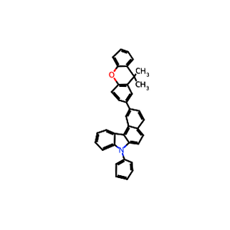 CC1(C)c2ccccc2Oc2ccc(-c3ccc4ccc5c(c4c3)c3ccccc3n5-c3ccccc3)cc21